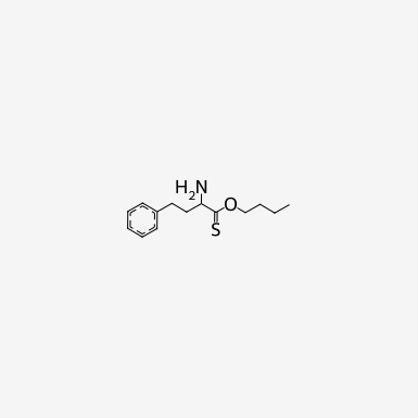 CCCCOC(=S)C(N)CCc1ccccc1